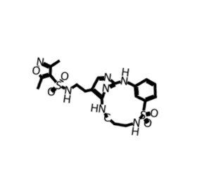 Cc1noc(C)c1S(=O)(=O)NCCc1cnc2nc1NCCCNS(=O)(=O)c1cccc(c1)N2